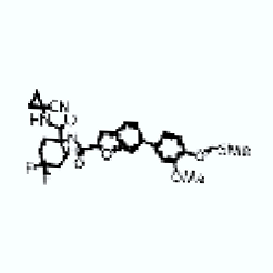 COc1cc(-c2ccc3cc(C(=O)NC4(C(=O)NC5(C#N)CC5)CCC(F)(F)CC4)oc3c2)ccc1OCSC